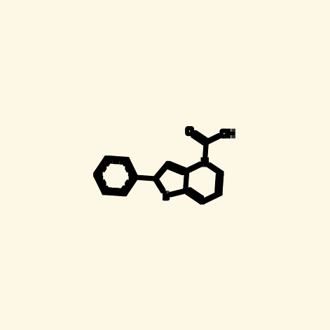 O=C(O)N1C=CC=C2SC(c3ccccc3)C=C21